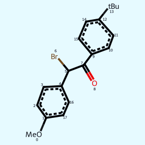 COc1ccc(C(Br)C(=O)c2ccc(C(C)(C)C)cc2)cc1